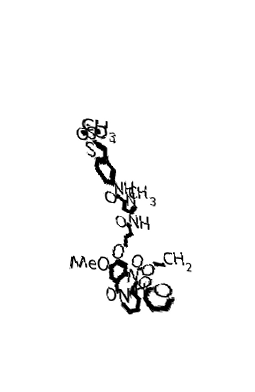 C=CCOC(=O)N1c2cc(OCCCC(=O)Nc3cc(C(=O)Nc4ccc5sc(S(C)(=O)=O)cc5c4)n(C)c3)c(OC)cc2C(=O)N2CCCC[C@H]2C1OC1CCCCO1